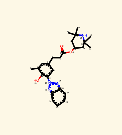 Cc1cc(CCC(=O)OC2CC(C)(C)NC(C)(C)C2)cc(-n2nc3ccccc3n2)c1O